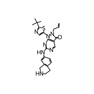 C=CCn1c(=O)c2cnc(Nc3ccc4c(c3)CNCC4)nc2n1-c1cnc(C(C)(C)C)s1